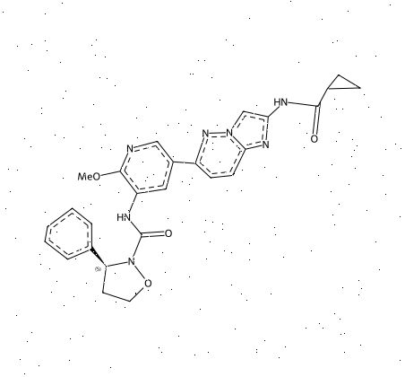 COc1ncc(-c2ccc3nc(NC(=O)C4CC4)cn3n2)cc1NC(=O)N1OCC[C@H]1c1ccccc1